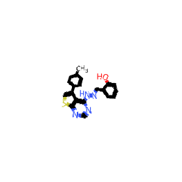 Cc1ccc(-c2csc3ncnc(N/N=C/c4ccccc4O)c23)cc1